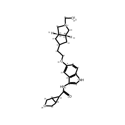 O=C(Nc1c[nH]c2ccc(OCCC3C[C@@H]4CN(CC(F)(F)F)C[C@@H]4C3)cc12)C1C2COCC21